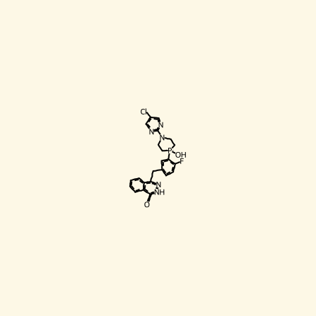 O=c1[nH]nc(Cc2ccc(F)c([P]3(O)CCN(c4ncc(Cl)cn4)CC3)c2)c2ccccc12